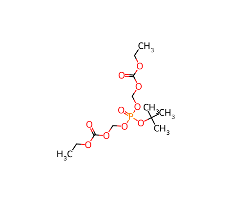 CCOC(=O)OCOP(=O)(OCOC(=O)OCC)OC(C)(C)C